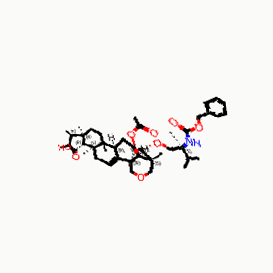 CC(=O)O[C@@H]1C[C@@]23COC[C@](C)([C@@H]2CC[C@H]2C3=CC[C@@]3(C)[C@H](C(=O)O)[C@@](C)([C@H](C)C(C)C)CC[C@]23C)[C@H]1OC[C@@](C)(NC(=O)OCc1ccccc1)C(C)C